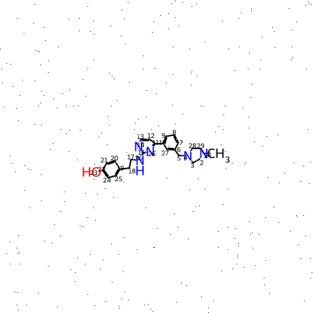 CN1CCN(Cc2cccc(-c3ccnc(NCCc4ccc(O)cc4)n3)c2)CC1